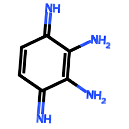 N=C1C=CC(=N)C(N)=C1N